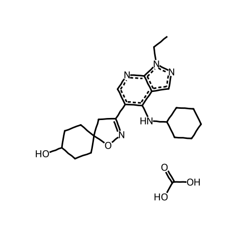 CCn1ncc2c(NC3CCCCC3)c(C3=NOC4(CCC(O)CC4)C3)cnc21.O=C(O)O